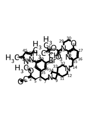 COC(=C=O)C[C@H](CN1CC2(CCN(Cc3ccc4c(n3)N(C(=O)OC(C)(C)C)CCO4)CC2)C1)c1cc(Br)cc(-n2nc(C)cc2C)c1